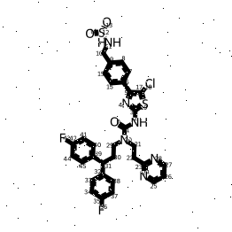 O=C(Nc1nc(-c2ccc(CN[SH](=O)=O)cc2)c(Cl)s1)N(CCc1ncccn1)CCC(c1ccc(F)cc1)c1ccc(F)cc1